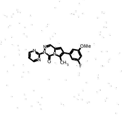 COc1cc(F)cc(-c2cc3cnn(-c4ncccn4)c(=O)n3c2C)c1